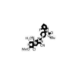 C=NNc1nc(N2CCC(NC(=O)OC(C)(C)C)(c3ccccc3F)CC2)nc(C#N)c1Cc1ccnc(OC)c1Cl